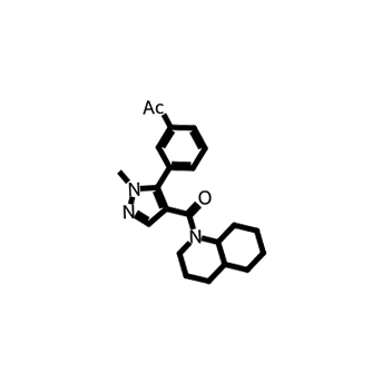 CC(=O)c1cccc(-c2c(C(=O)N3CCCC4CCCCC43)cnn2C)c1